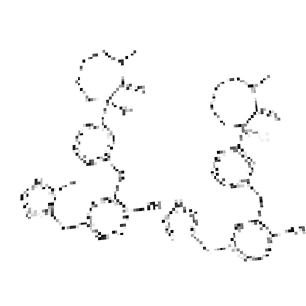 CCC1(c2cccc(Oc3cc(Cn4ccnc4C)ccc3C#N)c2)CCCCN(C)C1=O.CC[C@]1(c2cccc(Oc3cc(Cn4ccnc4)ccc3C#N)c2)CCCCN(C)C1=O